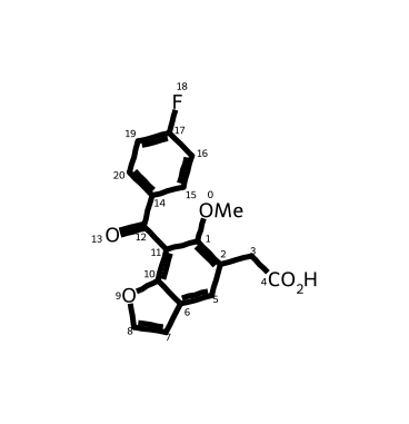 COc1c(CC(=O)O)cc2ccoc2c1C(=O)c1ccc(F)cc1